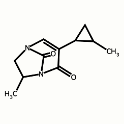 CC1CC1c1cn2c(=O)n(c1=O)C(C)C2